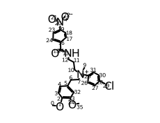 COc1ccc(CC[N+](C)(CCCNC(=O)c2ccc([N+](=O)[O-])cc2)c2ccc(Cl)cc2)cc1OC